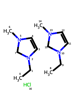 CCN1C=CN(C)C1.CCN1C=CN(C)C1.Cl